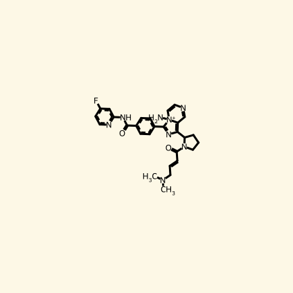 CN(C)CC=CC(=O)N1CCCC1C1=C2C=NC=C[N+]2(N)C(c2ccc(C(=O)Nc3cc(F)ccn3)cc2)=N1